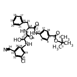 CC(C)(C)OC(=O)c1ccc(NC(=O)[C@H](Cc2ccccc2)NC(=O)C(O)Nc2cc(Cl)cc(C#N)c2)cc1